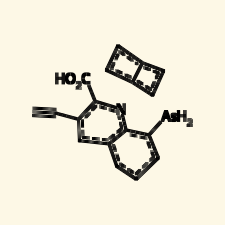 C#Cc1cc2cccc([AsH2])c2nc1C(=O)O.c1cc2ccc1-2